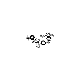 Cc1cnc(N[C@H]2CC[C@@H](NC(=O)CS(=O)(=O)c3cccc(C(F)(F)F)c3)CC2)nc1N(C)C.Cl